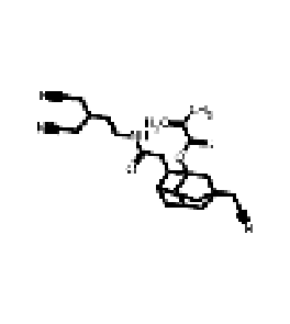 C=C(C)C(=O)OC12CC3CC(CC(CC#N)(C3)C1)C2CC(=O)NCCC(CC#N)CC#N